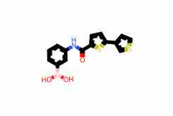 O=C(Nc1cccc(B(O)O)c1)c1ccc(-c2ccsc2)s1